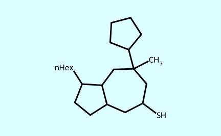 CCCCCCC1CCC2CC(S)CC(C)(C3CCCC3)CC12